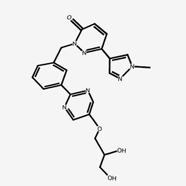 Cn1cc(-c2ccc(=O)n(Cc3cccc(-c4ncc(OCC(O)CO)cn4)c3)n2)cn1